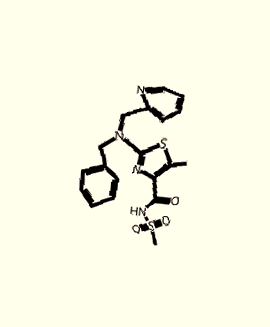 Cc1sc(N(Cc2ccccc2)Cc2ccccn2)nc1C(=O)NS(C)(=O)=O